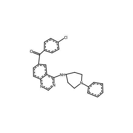 O=C(c1ccc(Cl)cc1)c1ccc2ncnc(NC3CCN(c4ccccc4)CC3)c2c1